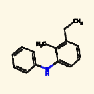 CCc1cccc(Nc2ccccc2)c1C